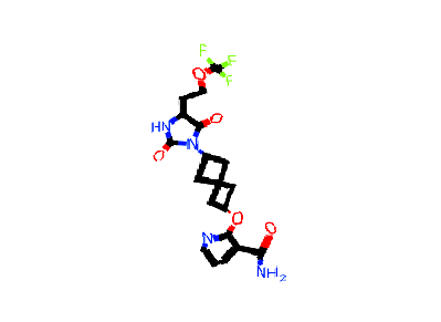 NC(=O)c1cccnc1O[C@H]1CC2(C1)C[C@H](N1C(=O)NC(CCOC(F)(F)F)C1=O)C2